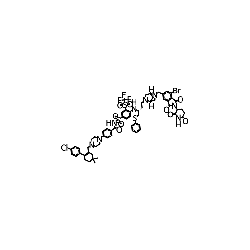 CC1(C)CCC(c2ccc(Cl)cc2)=C(CN2CCN(c3ccc(C(=O)NS(=O)(=O)c4ccc(N[C@H](CCN5C[C@@H]6C[C@H]5CN6Cc5cc(Br)c6c(c5)C(=O)N(C5CCC(=O)NC5=O)C6=O)CSc5ccccc5)c(S(=O)(=O)C(F)(F)F)c4)cc3)CC2)C1